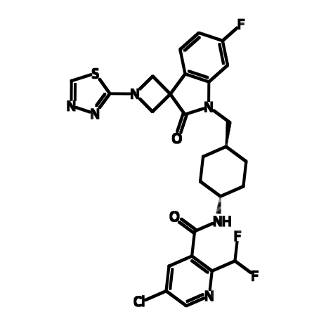 O=C(N[C@H]1CC[C@H](CN2C(=O)C3(CN(c4nncs4)C3)c3ccc(F)cc32)CC1)c1cc(Cl)cnc1C(F)F